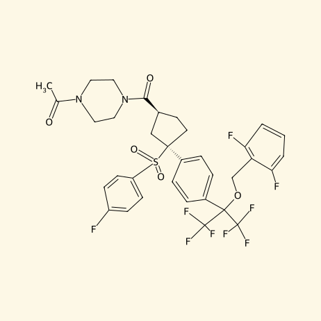 CC(=O)N1CCN(C(=O)[C@H]2CC[C@@](c3ccc(C(OCc4c(F)cccc4F)(C(F)(F)F)C(F)(F)F)cc3)(S(=O)(=O)c3ccc(F)cc3)C2)CC1